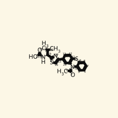 CC(=O)N1c2ccccc2Sc2ccc(-c3csc([C@H](NC(=O)O)C(C)C)n3)cc21